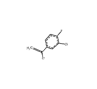 C=C(Cl)c1ccc(F)c(Cl)c1